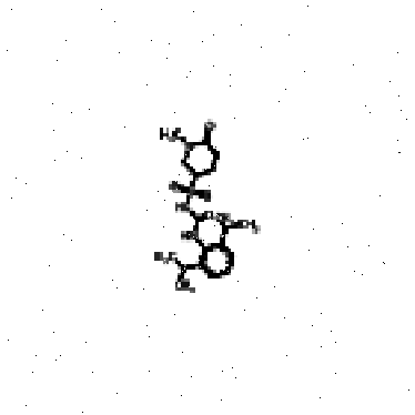 CC(C)c1cccc(C(C)C)c1NC(=O)NS(=O)(=O)C1CCC(=O)N(C)C1